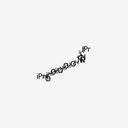 CC(C)CCc1cn(CCOCCOCCOCCOCCC(=O)C(C)C)nn1